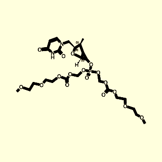 COCCOCCOC(=O)OCOP(=O)(OCOC(=O)OCCOCCOC)OC1C2[C@@H]1O[C@@H](Cn1ccc(=O)[nH]c1=O)[C@H]2C